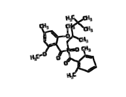 COc1cc(C)cc(OC)c1C(=O)P(=O)(CC(C)CC(C)(C)C)C(=O)c1c(C)cccc1C